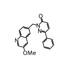 COc1cnc2ccc(Cn3nc(-c4ccccc4)ccc3=O)cc2c1